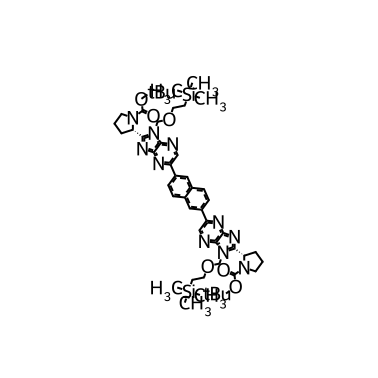 CC(C)(C)OC(=O)N1CCC[C@H]1c1nc2nc(-c3ccc4cc(-c5cnc6c(n5)nc([C@@H]5CCCN5C(=O)OC(C)(C)C)n6COCC[Si](C)(C)C)ccc4c3)cnc2n1COCC[Si](C)(C)C